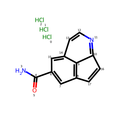 Cl.Cl.Cl.NC(=O)c1cc2c3c(nccc3c1)C=C2